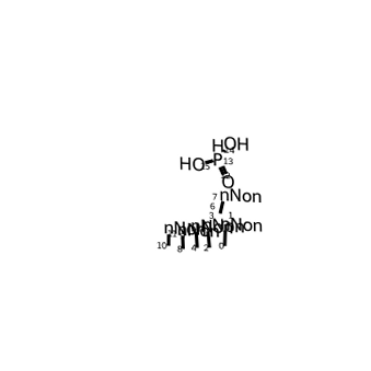 CCCCCCCCCC.CCCCCCCCCC.CCCCCCCCCC.CCCCCCCCCC.CCCCCCCCCC.CCCCCCCCCC.O=[PH](O)O